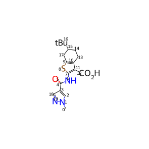 Cn1cc(C(=O)Nc2sc3c(c2C(=O)O)CCC(C(C)(C)C)C3)cn1